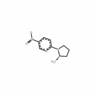 C[C@@H]1CCCN1c1ccc([N+](=O)[O-])cn1